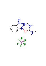 CN(C)C(ON1NNc2ccccc21)=[N+](C)C.F[P-](F)(F)(F)(F)F